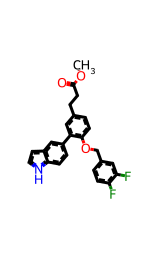 COC(=O)CCc1ccc(OCc2ccc(F)c(F)c2)c(-c2ccc3[nH]ccc3c2)c1